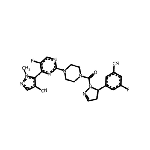 Cn1ncc(C#N)c1-c1nc(N2CCN(C(=O)N3N=CCC3c3cc(F)cc(C#N)c3)CC2)ncc1F